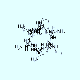 NCCNc1nc(N)nc(NCCNc2nc(NCCN)nc(NCCNc3nc(NCCN)nc(NCCNc4nc(NCCN)nc(NCCNc5nc(NCCN)nc(NCCNc6nc(NCCN)nc(NCCN)n6)n5)n4)n3)n2)n1